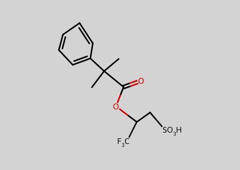 CC(C)(C(=O)OC(CS(=O)(=O)O)C(F)(F)F)c1ccccc1